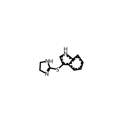 c1ccc2c(SC3=NCCN3)c[nH]c2c1